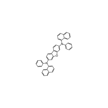 c1ccc(N(c2ccc3c(c2)oc2cc(N(c4ccccc4)c4cccc5ccccc45)ccc23)c2cccc3ccccc23)cc1